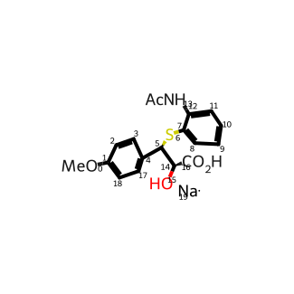 COc1ccc([C@@H](Sc2ccccc2NC(C)=O)[C@H](O)C(=O)O)cc1.[Na]